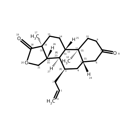 C=CC[C@@H]1C[C@H]2CC(=O)CC[C@]2(C)[C@H]2CC[C@]3(C)C(=O)OC[C@H]3[C@H]12